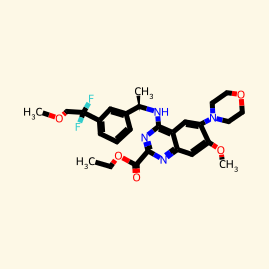 CCOC(=O)c1nc(N[C@H](C)c2cccc(C(F)(F)COC)c2)c2cc(N3CCOCC3)c(OC)cc2n1